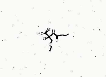 CCCC(=O)NC(Cl)(COCC)C(=O)O